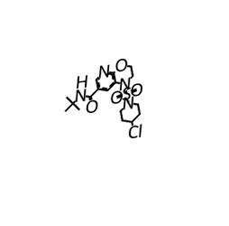 CC(C)(C)NC(=O)c1cnc2c(c1)N(S(=O)(=O)N1CCC(Cl)CC1)CCO2